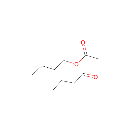 CCCC=O.CCCCOC(C)=O